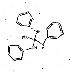 CCCC[Si](Nc1ccccc1)(Nc1ccccc1)Nc1ccccc1